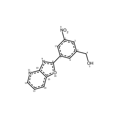 O=[N+]([O-])c1cc(CO)cc(-c2nc3ncccc3o2)c1